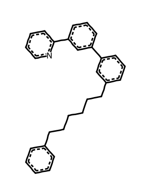 c1ccc(CCCCCCc2cccc(-c3cccc(-c4ccccn4)c3)c2)cc1